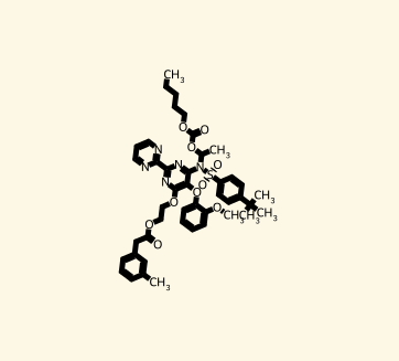 CCCCCOC(=O)OC(C)N(c1nc(-c2ncccn2)nc(OCCOC(=O)Cc2cccc(C)c2)c1Oc1ccccc1OC)S(=O)(=O)c1ccc(C(C)(C)C)cc1